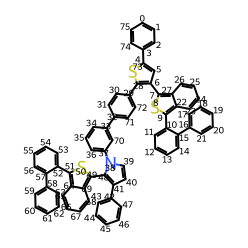 c1ccc(-c2cc(-c3sc(-c4ccccc4-c4ccccc4)c4ccccc34)c(-c3ccc(-c4cccc(-n5ccc(-c6ccccc6)c5-c5sc(-c6ccccc6-c6ccccc6)c6ccccc56)c4)cc3)s2)cc1